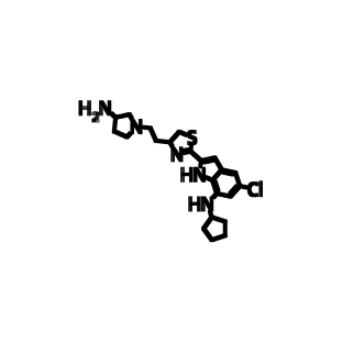 NC1CCN(CCC2CSC(c3cc4cc(Cl)cc(NC5CCCC5)c4[nH]3)=N2)C1